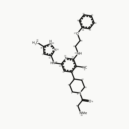 [C-]#[N+]c1c(C2CCN(C(=O)CNC)CC2)cc(Nc2cc(C)[nH]n2)nc1NCCOc1ccccc1